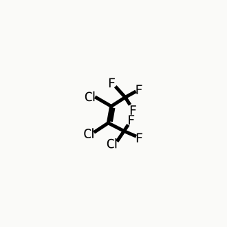 FC(F)(F)/C(Cl)=C(/Cl)C(F)(F)Cl